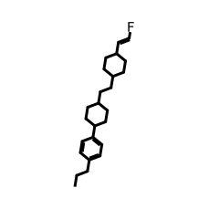 CCCc1ccc(C2CCC(CCC3CCC(/C=C/F)CC3)CC2)cc1